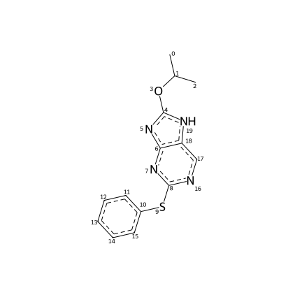 CC(C)Oc1nc2nc(Sc3ccccc3)ncc2[nH]1